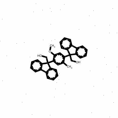 COc1cc(C2(CO)c3ccccc3-c3ccccc32)c(C)cc1C1(CO)c2ccccc2-c2ccccc21